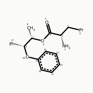 CC(C)C[C@H](N)C(=O)O[C@@H](C)[C@H](Oc1ccccc1)C(C)C